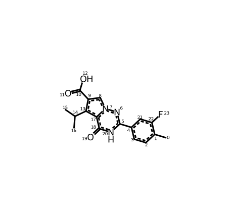 Cc1ccc(-c2nn3cc(C(=O)O)c(C(C)C)c3c(=O)[nH]2)cc1F